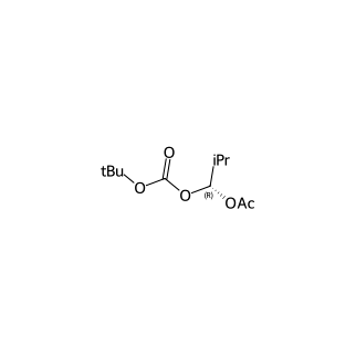 CC(=O)O[C@H](OC(=O)OC(C)(C)C)C(C)C